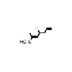 C=CCC(F)/C=C(\C)C(=O)O